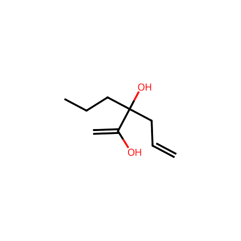 C=CCC(O)(CCC)C(=C)O